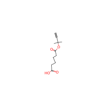 C#CC(C)(C)OC(=O)CCCCC(=O)O